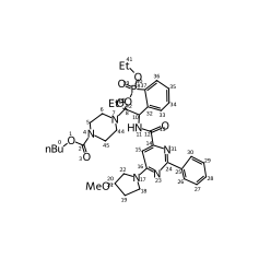 CCCCOC(=O)N1CCN(C(=O)C(NC(=O)c2cc(N3CC[C@H](OC)C3)nc(-c3ccccc3)n2)c2ccccc2P(=O)(OCC)OCC)CC1